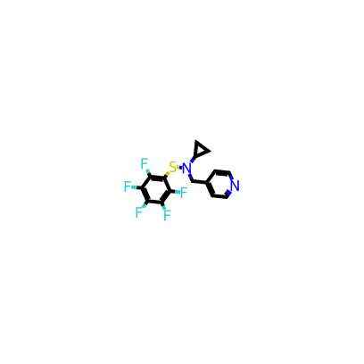 Fc1c(F)c(F)c(SN(Cc2ccncc2)C2CC2)c(F)c1F